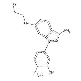 CCOC(=O)c1ccc(-n2cc(N)c3ccc(OCCC(C)C)cc32)cc1O